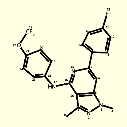 Cc1nn(C)c2cc(-c3ccc(F)cc3)nc(Nc3ccc(OC(F)(F)F)cc3)c12